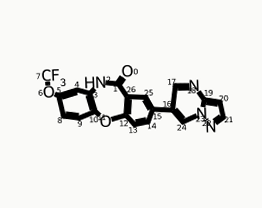 O=C1Nc2cc(OC(F)(F)F)ccc2Oc2ccc(-c3cnc4ccnn4c3)cc21